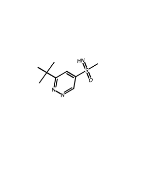 CC(C)(C)c1cc(S(C)(=N)=O)cnn1